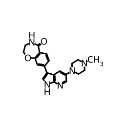 CN1CCN(c2cnc3[nH]cc(-c4ccc5c(c4)OCCNC5=O)c3c2)CC1